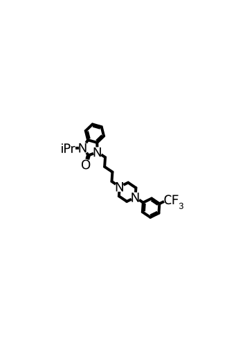 CC(C)n1c(=O)n(CCCCN2CCN(c3cccc(C(F)(F)F)c3)CC2)c2ccccc21